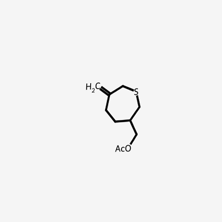 C=C1CCC(COC(C)=O)CSC1